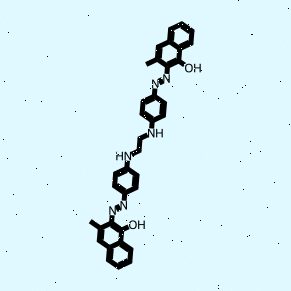 Cc1cc2ccccc2c(O)c1/N=N/c1ccc(NCCNc2ccc(/N=N/c3c(C)cc4ccccc4c3O)cc2)cc1